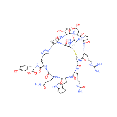 C=C1Cn2cc(nn2)CC[C@H](C(=O)N[C@@H](Cc2ccc(O)cc2)C(=O)O)NC(=O)[C@H](CCC(N)=O)NC(=O)C(Cc2c[nH]c3ccccc23)NC(=O)[C@H](CCCNC(N)=O)NC(=O)C2CSSC[C@H](NC(=O)CN)C(=O)N[C@@H]1C(=O)N[C@@H]([C@@H](C)O)C(=O)N[C@@H](CC(=O)O)C(=O)N1CCCC1C(=O)N[C@@H](CCCNC(=N)N)C(=O)N2